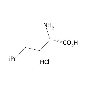 CC(C)CC[C@H](N)C(=O)O.Cl